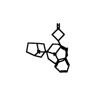 c1ccc2c(c1)nc(C1CNC1)n2C1CC2CCC(C1)N2C1CCCCCCC1